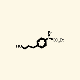 CCOC(=O)N(Br)c1ccc(CCCO)cc1